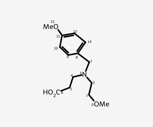 COCCN(CCC(=O)O)Cc1ccc(OC)cc1